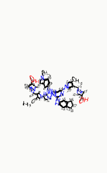 Cc1cn(-c2ccnc(Nc3ccc4c(c3)CCC4)n2)cc1CN1CC(O)C1.Cc1cn(-c2ccnc(Nc3ccc4c(ccn4C)c3)n2)cc1CN1CC(O)C1